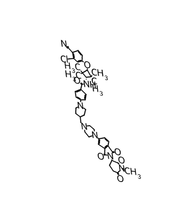 CN1C(=O)CCC(N2C(=O)c3ccc(N4CCN(CC5CCN(c6ccc(C(=O)N[C@H]7C(C)(C)[C@H](Oc8ccc(C#N)c(Cl)c8)C7(C)C)cc6)CC5)CC4)cc3C2=O)C1=O